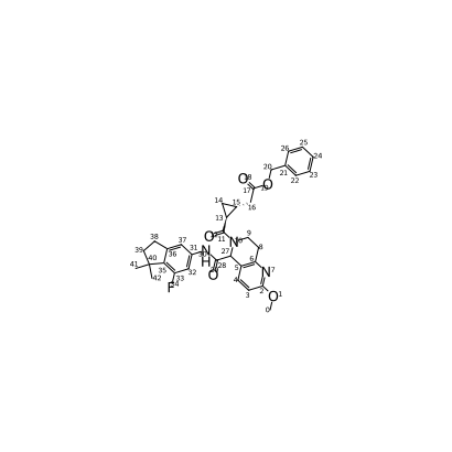 COc1ccc2c(n1)CCN(C(=O)[C@H]1C[C@@H]1CC(=O)OCc1ccccc1)C2C(=O)Nc1cc(F)c2c(c1)CCC2(C)C